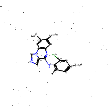 COc1cc2nc(Nc3c(C)cc(S(=O)(=O)O)cc3Cl)c3cncn3c2cc1OC